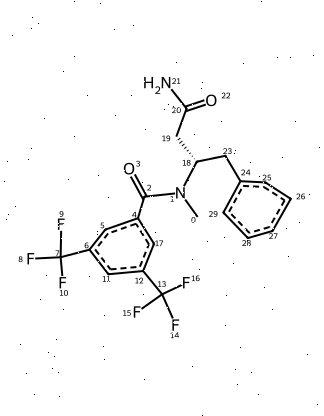 CN(C(=O)c1cc(C(F)(F)F)cc(C(F)(F)F)c1)[C@H](CC(N)=O)Cc1ccccc1